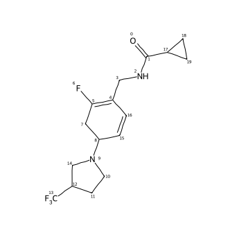 O=C(NCC1=C(F)CC(N2CCC(C(F)(F)F)C2)C=C1)C1CC1